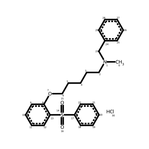 CN(CCCCCOc1ccccc1S(=O)(=O)c1ccccc1)Cc1ccccc1.Cl